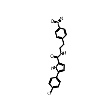 N#S(=O)c1ccc(CCNC(=O)c2ccc(-c3ccc(Cl)cc3)[nH]2)cc1